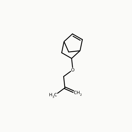 C=C(C)COC1CC2C=CC1C2